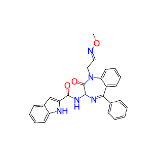 CO/N=C/CN1C(=O)C(NC(=O)c2cc3ccccc3[nH]2)N=C(c2ccccc2)c2ccccc21